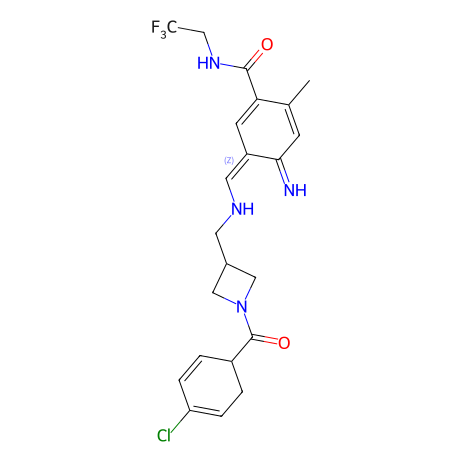 CC1=CC(=N)/C(=C\NCC2CN(C(=O)C3C=CC(Cl)=CC3)C2)C=C1C(=O)NCC(F)(F)F